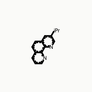 CC(C)c1cnc2c(ccc3cccnc32)c1